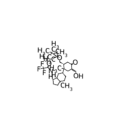 CC(C)(C)[Si](C)(C)OC[C@H]1CC(=O)/C(=C/O)C[C@]1(C)[C@H]1CC[C@]2(C)CCC[C@H]2[C@@H]1CNC(=O)C(F)(F)F